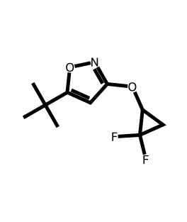 CC(C)(C)c1cc(OC2CC2(F)F)no1